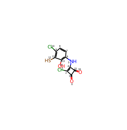 O=c1c(Cl)c(Nc2ccc(Cl)c(S)c2O)c1=O